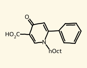 CCCCCCCCn1cc(C(=O)O)c(=O)cc1-c1ccccc1